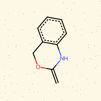 C=C1Nc2ccccc2CO1